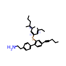 CCCC#Cc1ccc(-c2ccc(CCN)cc2)c(SC(/C=C(\C)CC)=C/C(C)=C(\C)CCC)c1